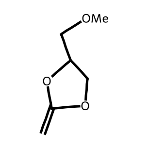 C=C1OCC(COC)O1